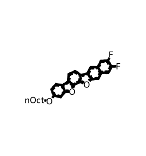 CCCCCCCCOc1ccc2c(c1)oc1c2ccc2c3cc4cc(F)c(F)cc4cc3oc21